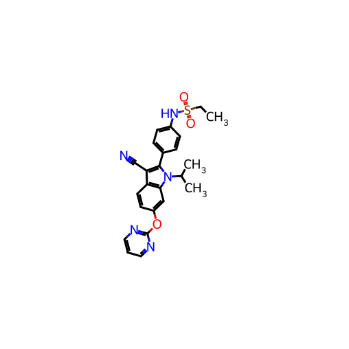 CCS(=O)(=O)Nc1ccc(-c2c(C#N)c3ccc(Oc4ncccn4)cc3n2C(C)C)cc1